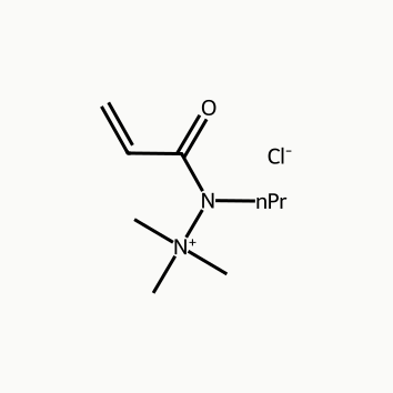 C=CC(=O)N(CCC)[N+](C)(C)C.[Cl-]